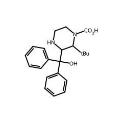 CC(C)(C)C1C(C(O)(c2ccccc2)c2ccccc2)NCCN1C(=O)O